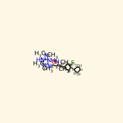 CN(C)C(=N)N/C(=N\c1cc(C(C)(C)c2ccc(-c3ccccc3)c(F)c2)no1)N(C)C